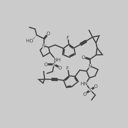 CC[C@@H](O)C(=O)N1CCC(NS(=O)(=O)CC)C1Cc1cccc(C#CC2(C)CC2C2CC2C(=O)N2CCC(NS(=O)(=O)CC)C2Cc2cccc(C#CC3(C)CC3)c2F)c1F